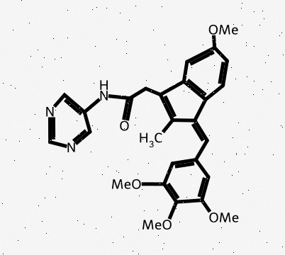 COc1ccc2c(c1)C(CC(=O)Nc1cncnc1)=C(C)C2=Cc1cc(OC)c(OC)c(OC)c1